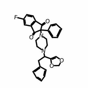 O=C1c2ccc(F)cc2C(=O)C1(c1ccccc1)N1CCN(C(Cc2ccccc2)C2=COCO2)CC1